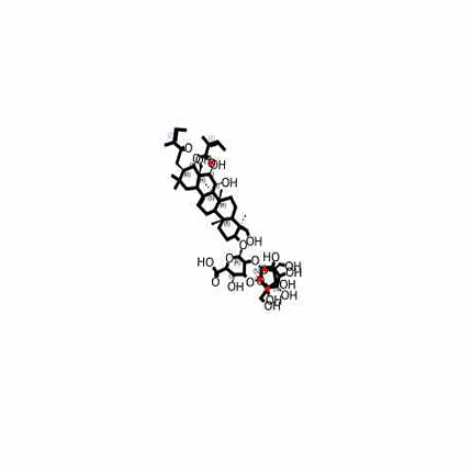 C/C=C(/C)C(=O)C[C@H]1[C@H](OC(=O)/C(C)=C\C)[C@@]2(CO)C(CC1(C)C)C1=CCC3[C@@]4(C)CCC(O[C@@H]5OC(C(=O)O)[C@@H](O)C(O[C@@H]6O[C@@H](CO)C(O)C6O)C5O[C@@H]5OC(CO)[C@@H](O)C(O)C5O)[C@](C)(CO)C4CC[C@@]3(C)[C@]1(C)[C@@H](O)[C@H]2O